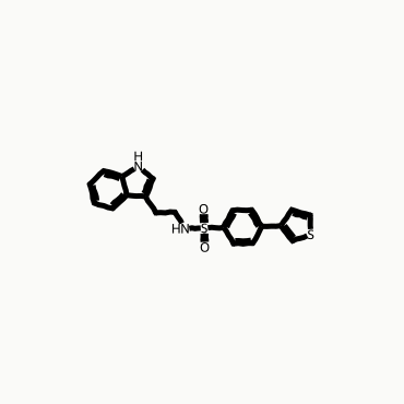 O=S(=O)(NCCc1c[nH]c2ccccc12)c1ccc(-c2ccsc2)cc1